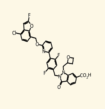 O=C(O)c1ccc2c(=O)n(Cc3cc(F)c(-c4cccc(OCc5ccc(Cl)c6cc(F)oc56)n4)cc3F)n(CC3CCO3)c2c1